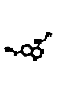 CC(C)CNc1ncnc2cc(SC(C)(C)C)ccc12